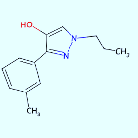 CCCn1cc(O)c(-c2cccc(C)c2)n1